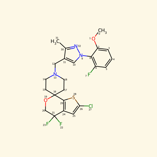 COc1cccc(F)c1-n1cc(CN2CCC3(CC2)OCC(F)(F)c2cc(Cl)sc23)c(C)n1